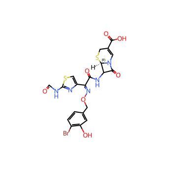 O=CNc1nc(C(=NOCc2ccc(Br)c(O)c2)C(=O)NC2C(=O)N3C=C(C(=O)O)CS[C@H]23)cs1